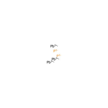 [P-3].[P-3].[Pb+2].[Pb+2].[Pb+2]